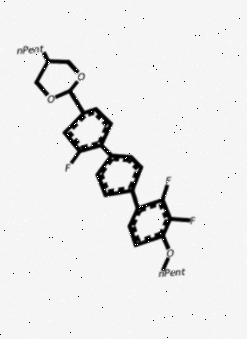 CCCCCOc1ccc(-c2ccc(-c3ccc(C4OCC(CCCCC)CO4)cc3F)cc2)c(F)c1F